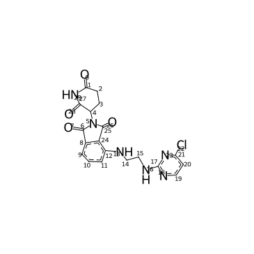 O=C1CCC(N2C(=O)c3cccc(NCCNc4nccc(Cl)n4)c3C2=O)C(=O)N1